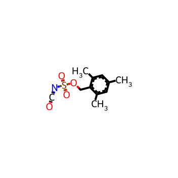 Cc1cc(C)c(COS(=O)(=O)N=C=O)c(C)c1